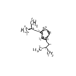 CC(C)Cc1csc(C(C)C)c1